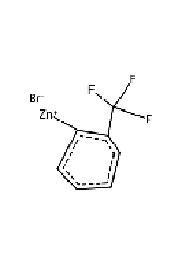 FC(F)(F)c1cccc[c]1[Zn+].[Br-]